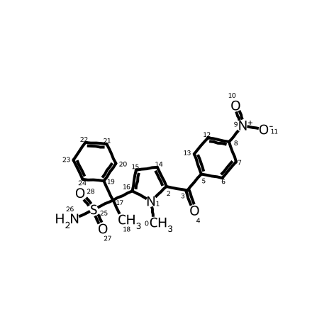 Cn1c(C(=O)c2ccc([N+](=O)[O-])cc2)ccc1C(C)(c1ccccc1)S(N)(=O)=O